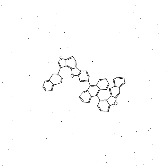 c1ccc2cc(-c3csc4ccc5c6ccc(-c7c8ccccc8c(-c8cccc9oc%10cc%11ccccc%11cc%10c89)c8ccccc78)cc6oc5c34)ccc2c1